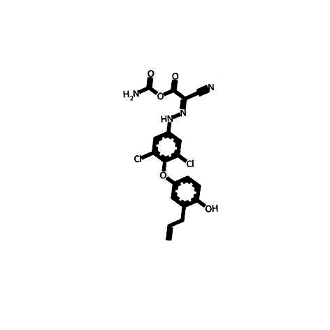 C=CCc1cc(Oc2c(Cl)cc(NN=C(C#N)C(=O)OC(N)=O)cc2Cl)ccc1O